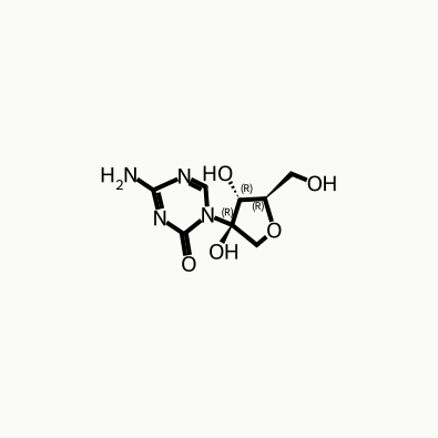 Nc1ncn([C@@]2(O)CO[C@H](CO)[C@H]2O)c(=O)n1